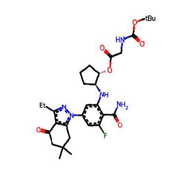 CCc1nn(-c2cc(F)c(C(N)=O)c(N[C@H]3CCC[C@@H]3OC(=O)CNC(=O)OC(C)(C)C)c2)c2c1C(=O)CC(C)(C)C2